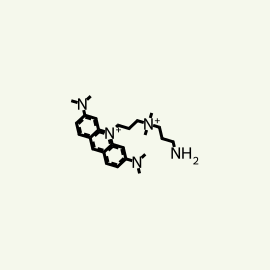 CN(C)c1ccc2cc3ccc(N(C)C)cc3[n+](CCC[N+](C)(C)CCCN)c2c1